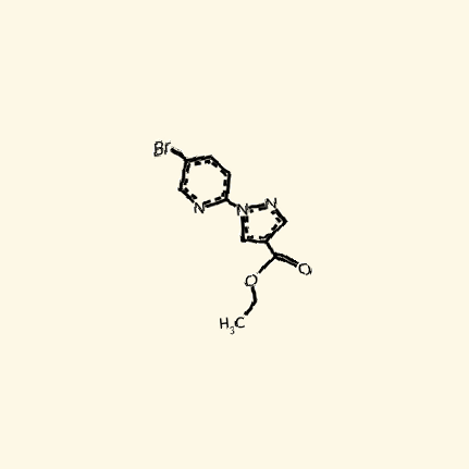 CCOC(=O)c1cnn(-c2ccc(Br)cn2)c1